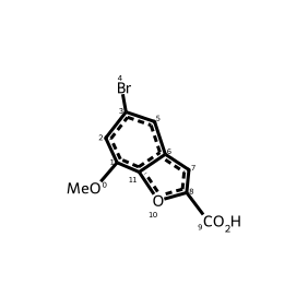 COc1cc(Br)cc2cc(C(=O)O)oc12